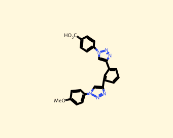 COc1ccc(-n2cc(-c3cccc(-c4cn(-c5ccc(C(=O)O)cc5)nn4)c3)nn2)cc1